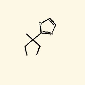 CCC(C)(CC)c1ncco1